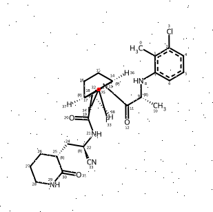 Cc1c(Cl)cccc1N[C@H](C)C(=O)N1[C@@H]2CC[C@H]([C@@H]1C(=O)N[C@@H](C#N)C[C@H]1CCCNC1=O)C(F)(F)C2